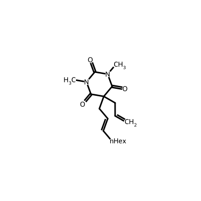 C=CCC1(CC=CCCCCCC)C(=O)N(C)C(=O)N(C)C1=O